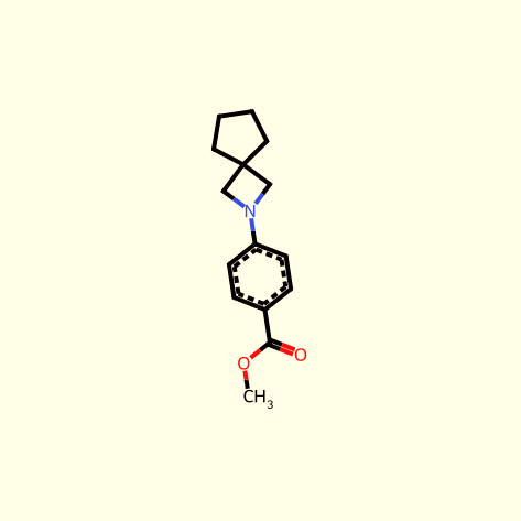 COC(=O)c1ccc(N2CC3(CCCC3)C2)cc1